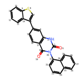 O=c1[nH]c2cc(-c3csc4ccccc34)ccc2c(=O)n1-c1cccc2ccccc12